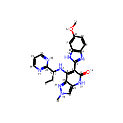 CC[C@H](Nc1c(-c2nc3ccc(OC)cc3[nH]2)c(=O)[nH]c2cn(C)nc12)c1ncccn1